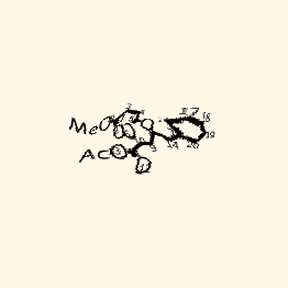 COC(=O)/C=C\C(=O)OC(CCC(=O)OC(C)=O)Cc1ccccc1